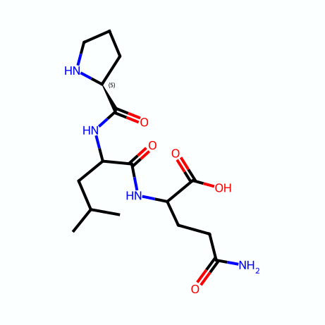 CC(C)CC(NC(=O)[C@@H]1CCCN1)C(=O)NC(CCC(N)=O)C(=O)O